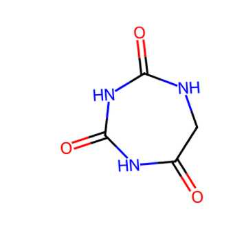 O=C1CNC(=O)NC(=O)N1